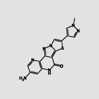 Cn1cc(-c2cn3nc4c5ncc(N)cc5[nH]c(=O)c4c3s2)cn1